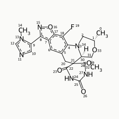 C[C@H]1CN2c3c(cc4c(-c5cncn5C)noc4c3F)CC3(C(=O)NC(=O)NC3=O)[C@@H]2[C@@H](C)O1